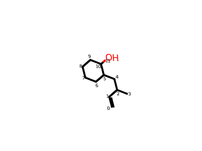 C=CC(C)CC1CCCCC1O